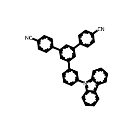 N#Cc1ccc(-c2cc(-c3ccc(C#N)cc3)cc(-c3cccc(-n4c5ccccc5c5ccccc54)c3)c2)cc1